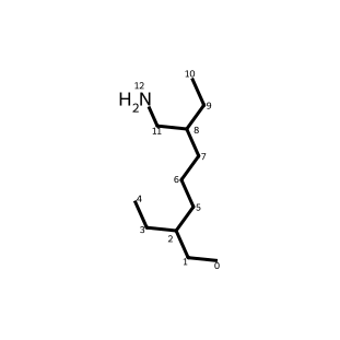 CCC(CC)CCCC(CC)CN